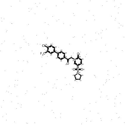 O=C(Cn1cc(S(=O)(=O)N2CCCC2)ccc1=O)c1ccc(-c2ccc(Cl)c(C(F)(F)F)c2)cc1